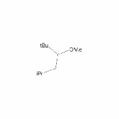 COC(CC(C)C)C(C)(C)C